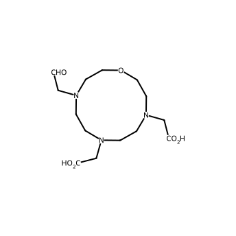 O=CCN1CCOCCN(CC(=O)O)CCN(CC(=O)O)CC1